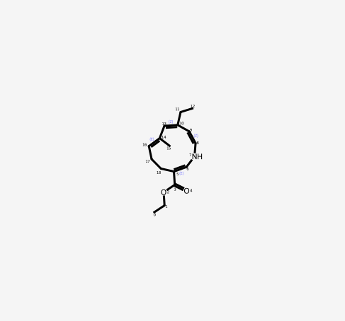 CCOC(=O)/C1=C/N\C=C/C(CC)=C\C(C)=C\CC1